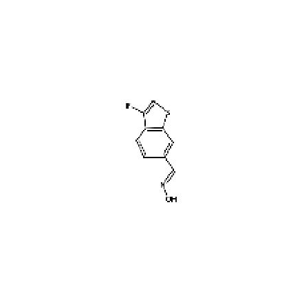 ON=Cc1ccc2c(F)csc2c1